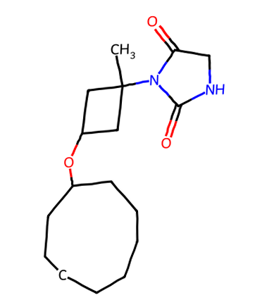 CC1(N2C(=O)CNC2=O)CC(OC2CCCCCCCC2)C1